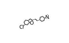 CN(C)c1ccc(C=Cc2cc3ccc(Cl)cc3o2)cc1